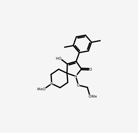 COCON1C(=O)C(c2cc(C)ccc2C)=C(O)C12CCN(OC)CC2